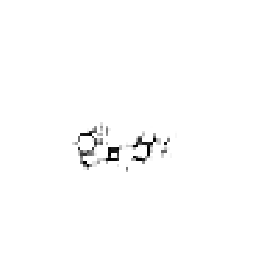 CN(C)C(=O)c1cccc(Nc2c(NC3c4occc4CCC3(C)C)c(=O)c2=O)c1O